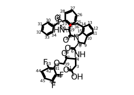 O=C(O)CC(NC(=O)[C@@H]1Cc2cccc3c2N1C(=O)[C@@H](NP(=O)(c1ccccc1)c1ccccc1)CC3)C(=O)COc1c(F)ccc(F)c1F